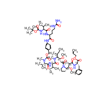 C=CCOC(=O)[C@H](Cc1ccccc1)NC(=O)[C@H](C)[C@@H](OC)[C@@H]1CCCN1C(=O)C[C@@H](OC)[C@H]([C@@H](C)CC)N(C)C(=O)[C@@H](NC(=O)[C@H](C(C)C)N(C)C(=O)OCc1ccc(NC(=O)C(CCCNC(N)=O)NC(=O)C(NC(=O)OC(C)(C)C)C(C)C)cc1)C(C)C